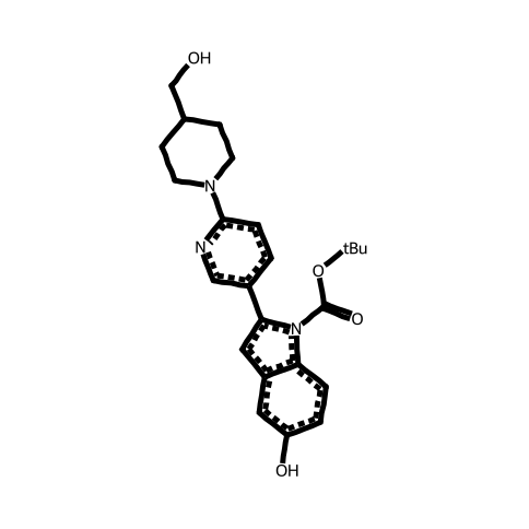 CC(C)(C)OC(=O)n1c(-c2ccc(N3CCC(CO)CC3)nc2)cc2cc(O)ccc21